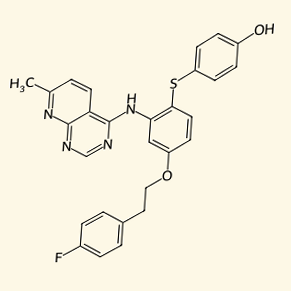 Cc1ccc2c(Nc3cc(OCCc4ccc(F)cc4)ccc3Sc3ccc(O)cc3)ncnc2n1